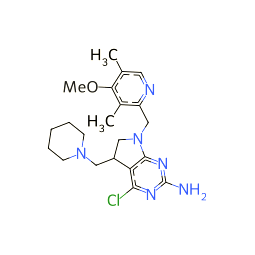 COc1c(C)cnc(CN2CC(CN3CCCCC3)c3c(Cl)nc(N)nc32)c1C